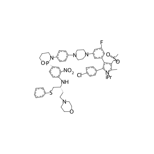 Cc1c(S(C)(=O)=O)c(-c2cc(F)cc(N3CCN(c4ccc(N5CCCO[P@@]5c5ccc(N[C@H](CCN6CCOCC6)CSc6ccccc6)c([N+](=O)[O-])c5)cc4)CC3)c2)c(-c2ccc(Cl)cc2)n1C(C)C